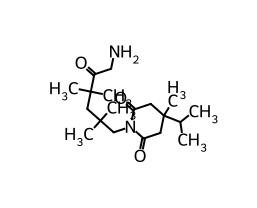 CC(C)C1(C)CC(=O)N(CC(C)(C)CC(C)(C)C(=O)CN)C(=O)C1